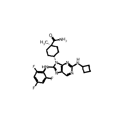 C[C@]1(C(N)=O)CC[C@H](n2c(Nc3c(F)cc(F)cc3F)nc3cnc(NC4CCC4)nc32)CC1